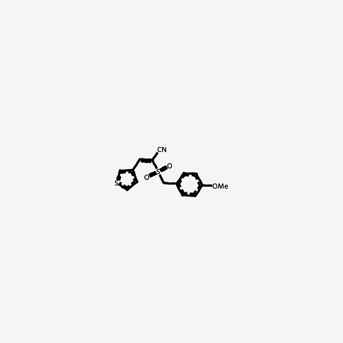 COc1ccc(CS(=O)(=O)/C(C#N)=C\c2ccsc2)cc1